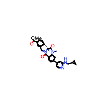 COC(=O)c1cccc(CN2C(=O)c3ccc(-c4ccnc(NCC5CC5)c4)cc3N(C)C(=O)[C@H]2C)c1